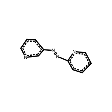 c1ccc(N=Nc2cccnc2)nc1